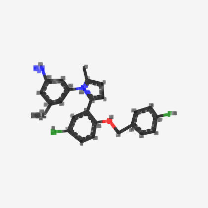 Cc1ccc(-c2cc(Br)ccc2OCc2ccc(F)cc2)n1-c1cc(N)cc(C(=O)O)c1